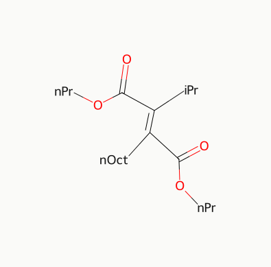 CCCCCCCCC(C(=O)OCCC)=C(C(=O)OCCC)C(C)C